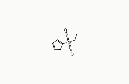 C[CH2][Ru](=[C]=O)(=[C]=O)[C]1=CC=CC1